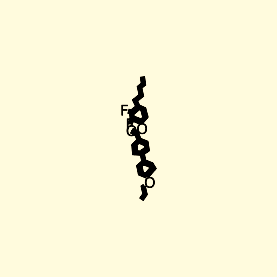 CCCCCc1ccc(OC(=O)c2ccc(-c3ccc(OCCC)cc3)cc2)c(F)c1F